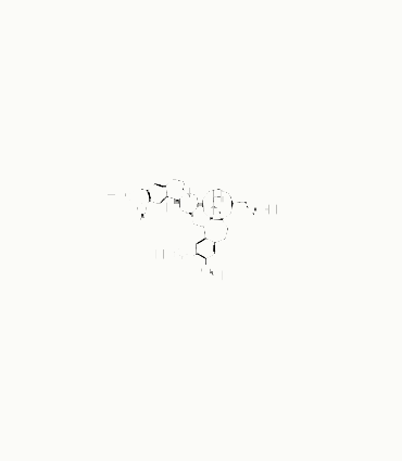 CC[C@H]1CN2CCc3cc(OC)c(OC)cc3[C@@H]2C[C@@H]1CC1c2cc(OC)c(OC)cc2CCC23CC(CNO)CCCCCC12N3